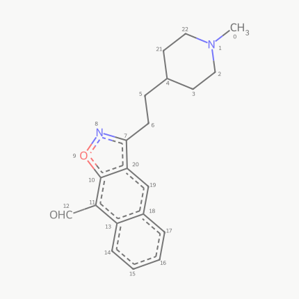 CN1CCC(CCc2noc3c(C=O)c4ccccc4cc23)CC1